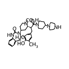 Cc1cc(CC(C(=O)N2CCC(N3CCNCC3)CC2)[C@H]2CC(N3CCc4ccccc4NC3=O)CCN2C(=O)O)cc(C)c1O